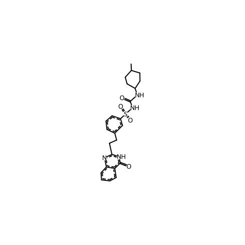 CC1CCC(NC(=O)NS(=O)(=O)c2cccc(CCc3nc4ccccc4c(=O)[nH]3)c2)CC1